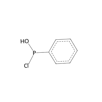 OP(Cl)c1ccccc1